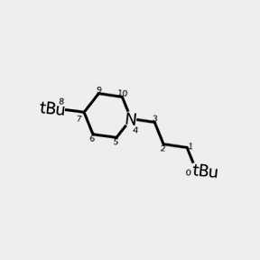 CC(C)(C)CCCN1CCC(C(C)(C)C)CC1